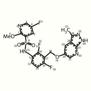 COc1ncc(F)cc1S(=O)(=O)Nc1ccc(F)c(COc2cnc3[nH]nc(C)c3c2)c1F